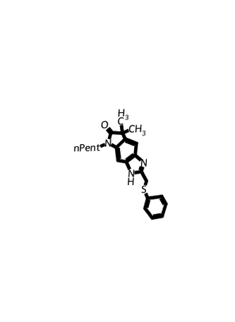 CCCCCN1C(=O)C(C)(C)c2cc3nc(CSc4ccccc4)[nH]c3cc21